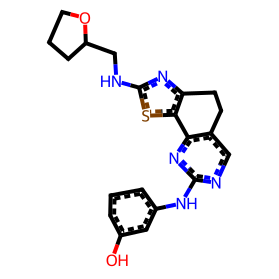 Oc1cccc(Nc2ncc3c(n2)-c2sc(NCC4CCCO4)nc2CC3)c1